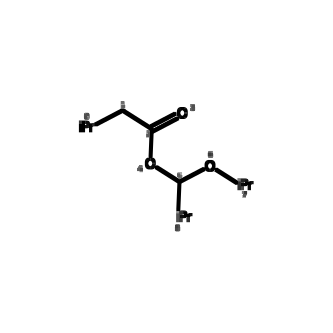 CC(C)CC(=O)OC(OC(C)C)C(C)C